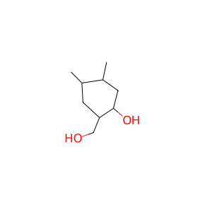 CC1CC(O)C(CO)CC1C